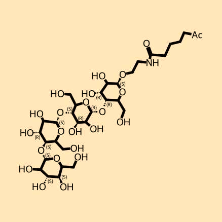 CC(=O)CCCCC(=O)NCCO[C@H]1OC(CO)[C@H](O[C@H]2OC(CO)[C@@H](O[C@@H]3OC(CO)[C@@H](O[C@@H]4OC(CO)[C@@H](O)[C@H](O)C4O)[C@H](O)C3O)[C@H](O)C2O)[C@H](O)C1O